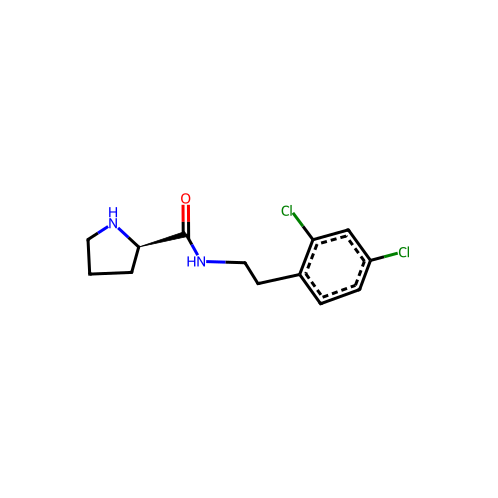 O=C(NCCc1ccc(Cl)cc1Cl)[C@H]1CCCN1